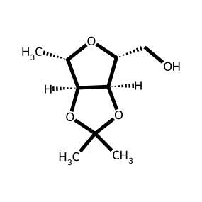 C[C@@H]1O[C@H](CO)[C@H]2OC(C)(C)O[C@H]21